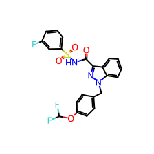 O=C(NS(=O)(=O)c1cccc(F)c1)c1nn(Cc2ccc(OC(F)F)cc2)c2ccccc12